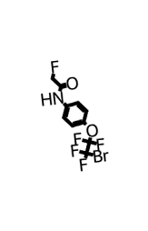 O=C(CF)Nc1ccc(OC(F)(F)C(F)(F)Br)cc1